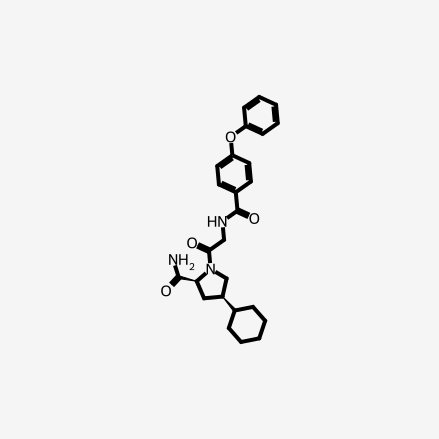 NC(=O)[C@@H]1C[C@H](C2CCCCC2)CN1C(=O)CNC(=O)c1ccc(Oc2ccccc2)cc1